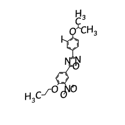 CCCOc1ccc(-c2nc(-c3ccc(OC(C)C)c(I)c3)no2)cc1[N+](=O)[O-]